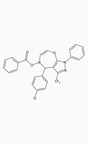 O=C(ON1C=COc2c(c(C(F)(F)F)nn2-c2ccccc2)C1c1ccc(Cl)cc1)c1ccccc1